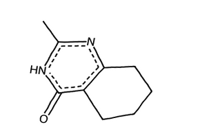 Cc1nc2c(c(=O)[nH]1)CCCC2